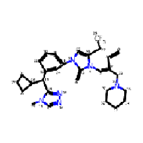 C=C/C(=C\N1C(=C)N(c2cccc(C(c3nncn3C)C3CCC3)c2)C=C1CC(F)(F)F)CN1CCCCC1